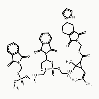 CC(C)=CC1C(C(=O)OCN2C(=O)C3=C(CCCC3)C2=O)C1(C)C.CCOP(=S)(OCC)SC(CCl)N1C(=O)c2ccccc2C1=O.COP(=S)(OC)SCN1C(=O)c2ccccc2C1=O.c1cn[nH]c1